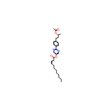 CCCCCCCC/C=C\CC(=O)Oc1cnc(-c2ccc(CCC(C)OC(C)=O)cc2)nc1